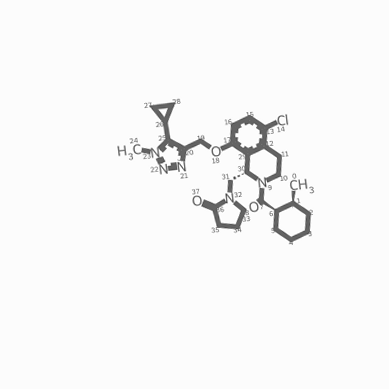 C[C@H]1CCCC[C@H]1C(=O)N1CCc2c(Cl)ccc(OCc3nnn(C)c3C3CC3)c2[C@H]1CN1CCCC1=O